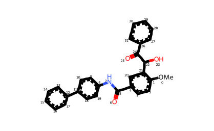 COc1ccc(C(=O)Nc2ccc(-c3ccccc3)cc2)cc1C(O)C(=O)c1ccccc1